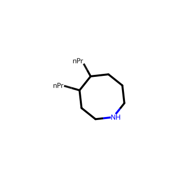 CCCC1CCCNCCC1CCC